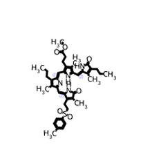 CCCC1=C(C)/C(=C/c2[nH]c(/C=C3N=C(/C=C4\NC(=O)C(C)=C4CCS(=O)(=O)c4ccc(C)cc4)C(C)=C\3CCC)c(CCC(=O)OC)c2C)NC1=O